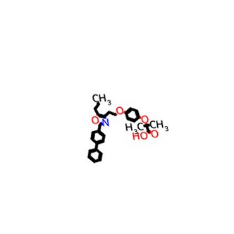 CCCc1oc(-c2ccc(-c3ccccc3)cc2)nc1CCOc1ccc(OC(C)(C)C(=O)O)cc1